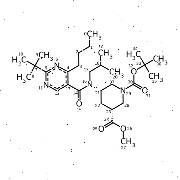 CCCCc1nc(C(C)(C)C)ncc1C(=O)N(CC(C)C)[C@H]1C[C@@H](C(=O)OC)CN(C(=O)OC(C)(C)C)C1